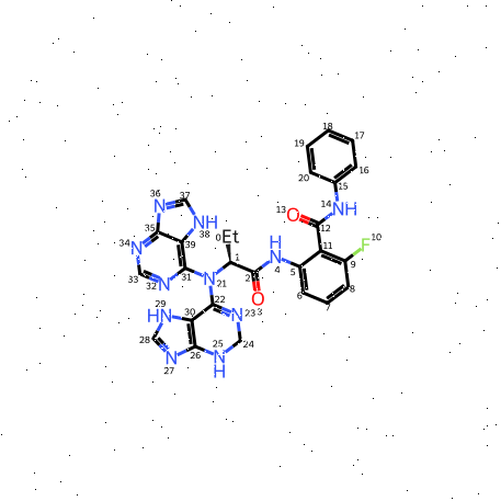 CC[C@@H](C(=O)Nc1cccc(F)c1C(=O)Nc1ccccc1)N(C1=NCNc2nc[nH]c21)c1ncnc2nc[nH]c12